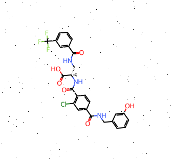 O=C(NCc1cccc(O)c1)c1ccc(C(=O)N[C@@H](CNC(=O)c2cccc(C(F)(F)F)c2)C(=O)O)c(Cl)c1